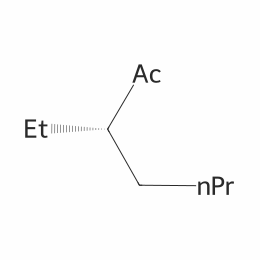 CCCC[C@H](CC)C(C)=O